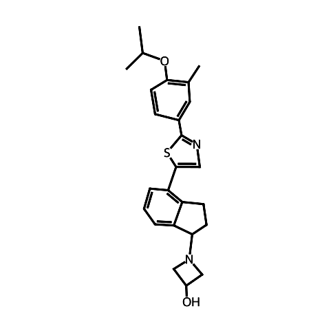 Cc1cc(-c2ncc(-c3cccc4c3CCC4N3CC(O)C3)s2)ccc1OC(C)C